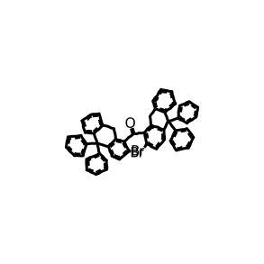 O=C(c1c(Br)ccc2c1Cc1ccccc1C2(c1ccccc1)c1ccccc1)c1c(Br)ccc2c1Cc1ccccc1C2(c1ccccc1)c1ccccc1